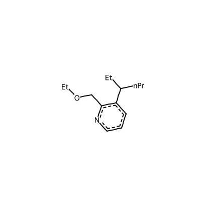 CCCC(CC)c1cccnc1COCC